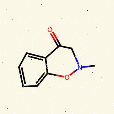 CN1CC(=O)c2ccccc2O1